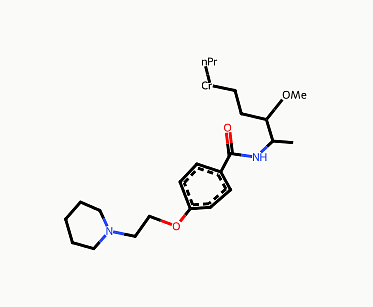 CC[CH2][Cr][CH2]CC(OC)C(C)NC(=O)c1ccc(OCCN2CCCCC2)cc1